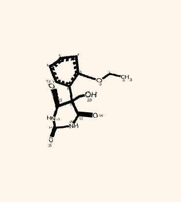 CCOc1ccccc1C1(O)C(=O)NC(=O)NC1=O